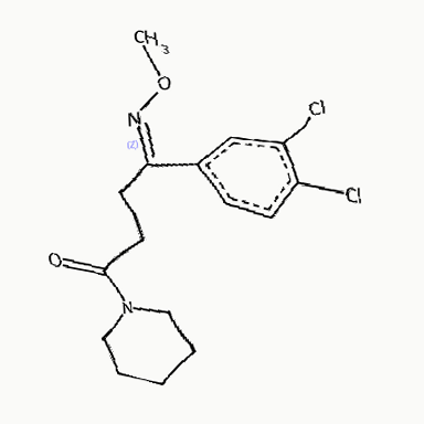 CO/N=C(/CCC(=O)N1CCCCC1)c1ccc(Cl)c(Cl)c1